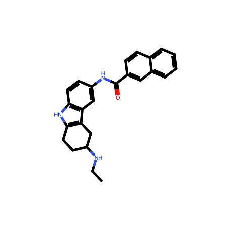 CCNC1CCc2[nH]c3ccc(NC(=O)c4ccc5ccccc5c4)cc3c2C1